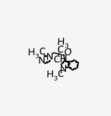 Cc1nccn1CC(C)(C)C(=O)c1cn(C)c2ccccc12